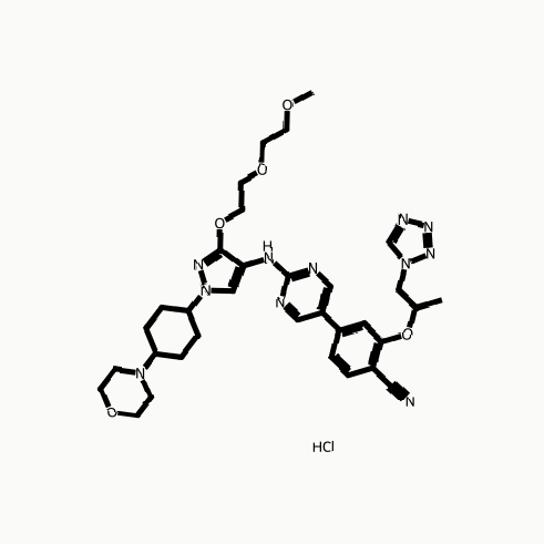 COCCOCCOc1nn(C2CCC(N3CCOCC3)CC2)cc1Nc1ncc(-c2ccc(C#N)c(OC(C)Cn3cnnn3)c2)cn1.Cl